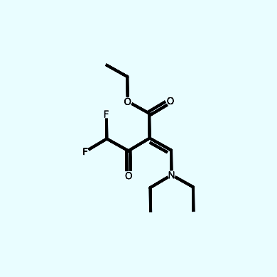 CCOC(=O)C(=CN(CC)CC)C(=O)C(F)F